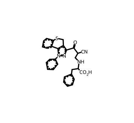 N#CC(CNC(Cc1ccccc1)C(=O)O)C(=O)c1nn(-c2ccccc2)c2c1CSc1ccccc1-2